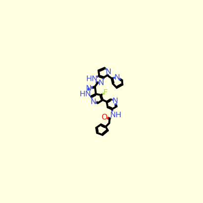 O=C(Cc1ccccc1)Nc1cncc(-c2cnc3[nH]nc(-c4nc5c(-c6ccccn6)nccc5[nH]4)c3c2F)c1